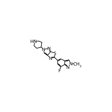 Cn1cc2cc(-c3nc4cn(C5CCNCC5)nc4s3)cc(F)c2n1